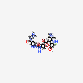 COc1cc(F)c2[nH]c(-c3c(C)nn(C)c3C)c(/C=C3\Oc4ccc(NC(=O)Nc5ccc(C(=O)N6CCC(N(C)C)C6)cc5)cc4C3=O)c2c1